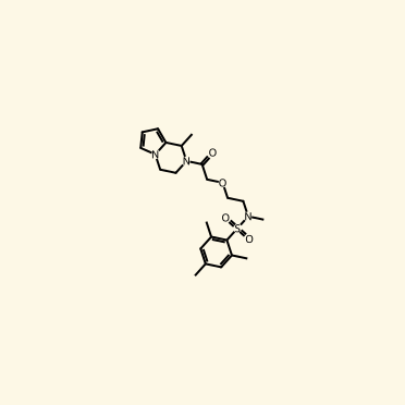 Cc1cc(C)c(S(=O)(=O)N(C)CCOCC(=O)N2CCn3cccc3C2C)c(C)c1